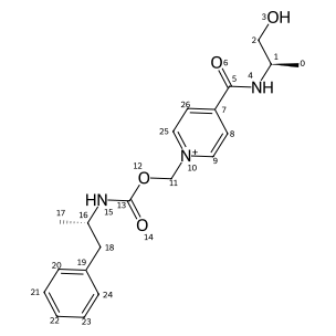 C[C@H](CO)NC(=O)c1cc[n+](COC(=O)N[C@@H](C)Cc2ccccc2)cc1